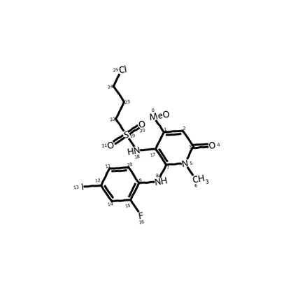 COc1cc(=O)n(C)c(Nc2ccc(I)cc2F)c1NS(=O)(=O)CCCCl